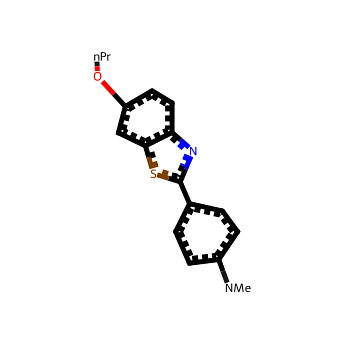 CCCOc1ccc2nc(-c3ccc(NC)cc3)sc2c1